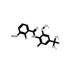 CNc1cccc(C(=O)Nc2c(I)cc(C(F)(C(F)(F)F)C(F)(F)F)cc2SC(F)(F)F)c1F